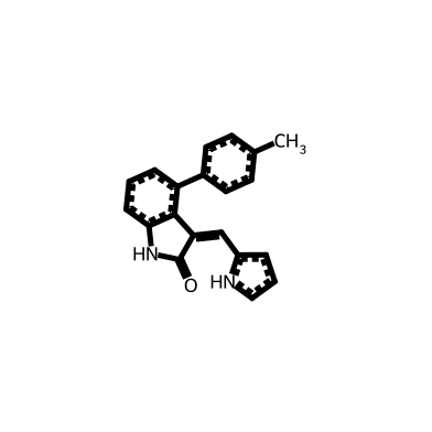 Cc1ccc(-c2cccc3c2C(=Cc2ccc[nH]2)C(=O)N3)cc1